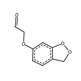 O=[C]COc1ccc2c(c1)OOC2